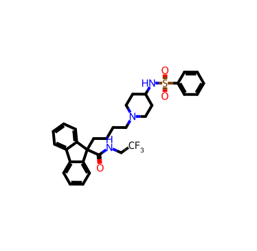 O=C(NCC(F)(F)F)C1(CCCCN2CCC(NS(=O)(=O)c3ccccc3)CC2)c2ccccc2-c2ccccc21